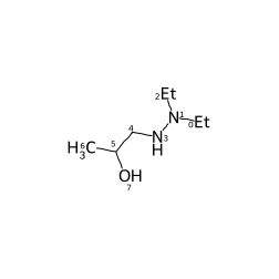 CCN(CC)NCC(C)O